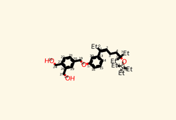 CC/C(=C/CCC(CC)(CC)O[Si](CC)(CC)CC)c1cccc(OCc2ccc(CO)c(CO)c2)c1